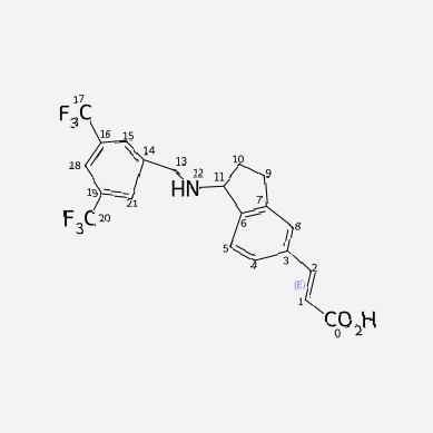 O=C(O)/C=C/c1ccc2c(c1)CCC2NCc1cc(C(F)(F)F)cc(C(F)(F)F)c1